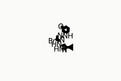 COc1cccc(Nc2ncc(Br)c(Nc3cc(C4CC4)n[nH]3)n2)c1